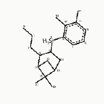 CCCC1C([SiH2]c2cccc(C)c2C)CC2CC1C2(C)C